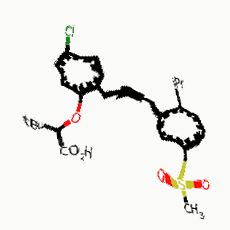 CC(C)c1ccc(S(C)(=O)=O)cc1C#Cc1cc(Cl)ccc1OC(C(=O)O)C(C)(C)C